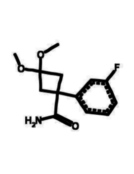 COC1(OC)CC(C(N)=O)(c2cccc(F)c2)C1